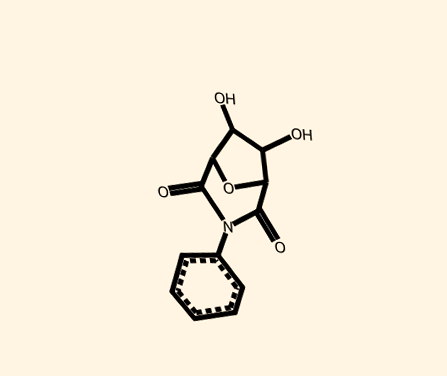 O=C1C2OC(C(=O)N1c1ccccc1)C(O)C2O